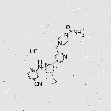 Cl.N#Cc1ccnc(Nc2cc(C3CC3)cc(-c3cncc(CN4CCN(C(N)=O)CC4)c3)n2)c1